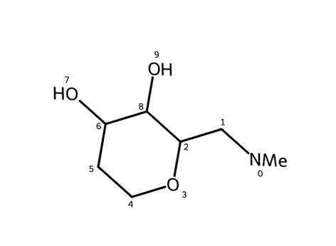 CNCC1OCCC(O)C1O